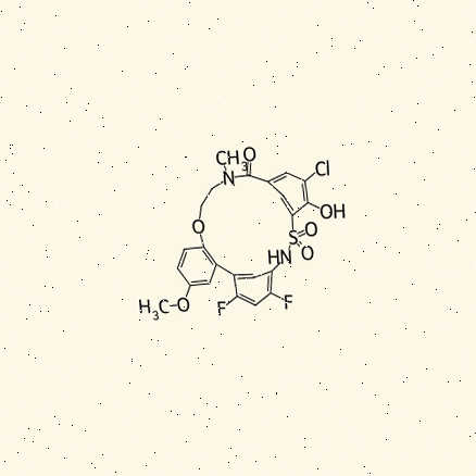 COc1ccc2c(c1)-c1cc(c(F)cc1F)NS(=O)(=O)c1cc(cc(Cl)c1O)C(=O)N(C)CCO2